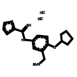 CNCc1cc(NC(=N)c2cccs2)ccc1OC1CCCC1.Cl.Cl